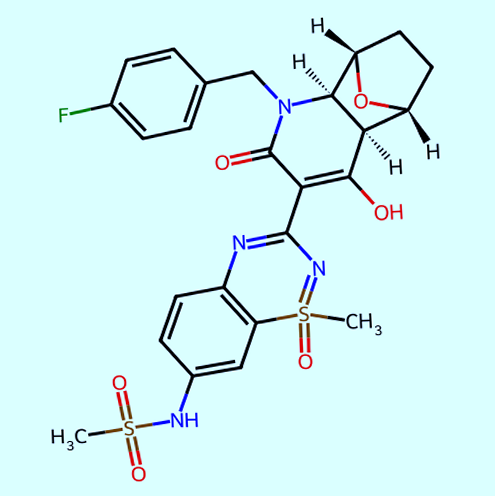 CS(=O)(=O)Nc1ccc2c(c1)S(C)(=O)=NC(C1=C(O)[C@H]3[C@H]([C@@H]4CC[C@H]3O4)N(Cc3ccc(F)cc3)C1=O)=N2